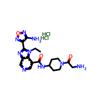 CCn1c(-c2nonc2N)nc2cncc(C(=O)NC3CCN(C(=O)CN)CC3)c21.Cl.Cl